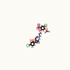 CC(C)Oc1cc(OCCCN2CCC(O)(Cc3ccc(Cl)cc3)C(C)(C)C2)c([N+](=O)[O-])cc1Cl